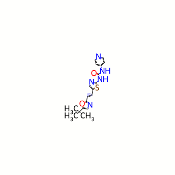 CC(C)(C)c1cnc(/C=C/c2cnc(NC(=O)Nc3ccncc3)s2)o1